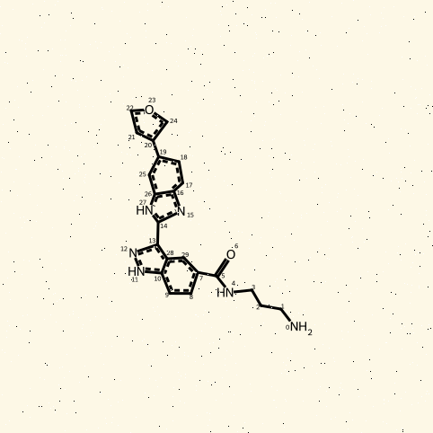 NCCCNC(=O)c1ccc2[nH]nc(-c3nc4ccc(-c5ccoc5)cc4[nH]3)c2c1